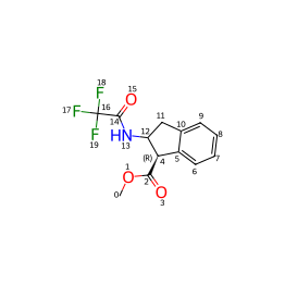 COC(=O)[C@@H]1c2ccccc2CC1NC(=O)C(F)(F)F